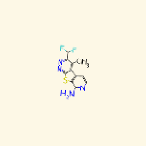 Cc1c(C(F)F)nnc2sc3c(N)nccc3c12